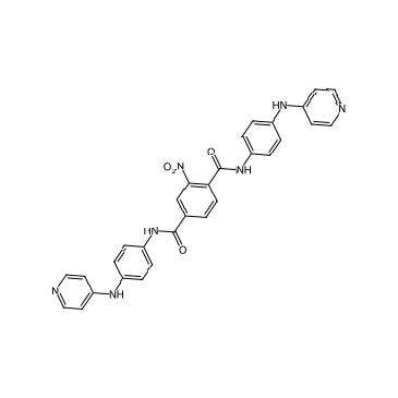 O=C(Nc1ccc(Nc2ccncc2)cc1)c1ccc(C(=O)Nc2ccc(Nc3ccncc3)cc2)c([N+](=O)[O-])c1